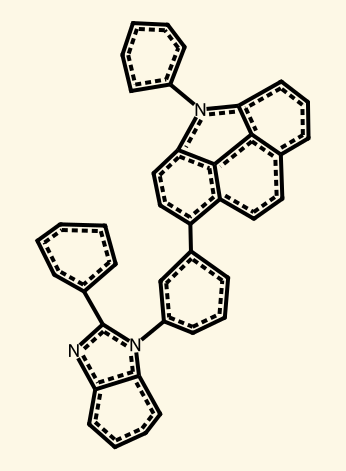 c1ccc(-c2nc3ccccc3n2-c2cccc(-c3ccc4c5c3ccc3cccc(c35)n4-c3ccccc3)c2)cc1